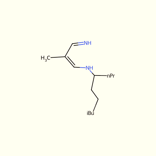 CCCC(CCC(C)CC)N/C=C(/C)C=N